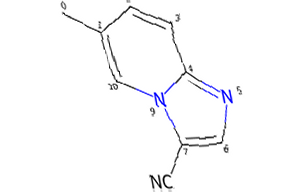 Cc1ccc2ncc(C#N)n2c1